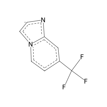 FC(F)(F)c1ccn2c[c]nc2c1